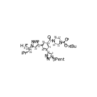 CCC[C@@H](C)n1cc(-c2cc(C(=O)N3CCN(C(=O)OC(C)(C)C)CC3)cc(-c3cn([C@H](C)CC(C)C)nn3)c2)nn1